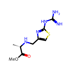 COC(=O)[C@H](C)NCc1csc(NC(=N)N)n1